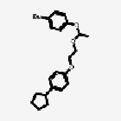 CCC(C)c1ccc(OC(C)OCCOc2ccc(C3CCCC3)cc2)cc1